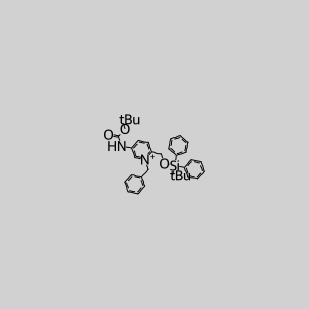 CC(C)(C)OC(=O)Nc1ccc(CO[Si](c2ccccc2)(c2ccccc2)C(C)(C)C)[n+](Cc2ccccc2)c1